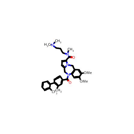 COc1cc2c(cc1OC)N(C(=O)c1ccc(-c3ccccc3C(F)(F)F)c(C)c1)Cc1ccc(C(=O)N(C)CCCN(C)C)n1C2